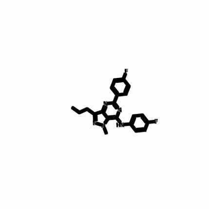 CCCc1nn(C)c2c(Nc3ccc(F)cc3)nc(-c3ccc(F)cc3)nc12